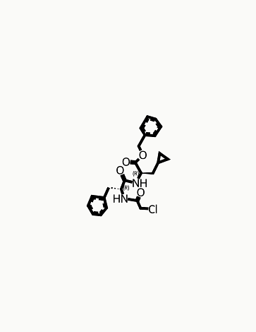 O=C(CCl)N[C@H](Cc1ccccc1)C(=O)N[C@H](CC1CC1)C(=O)OCc1ccccc1